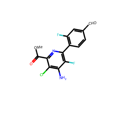 COC(=O)c1nc(-c2ccc(C=O)cc2F)c(F)c(N)c1Cl